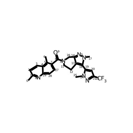 Cc1ccc2c(C)c(C(=O)N3CCc4c(nn(C)c4-c4cc(C(F)(F)F)nn4C)C3)ccc2n1